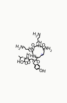 CC(C)C[C@H](NC(=O)CN(Cc1ccc(O)cc1)C(=O)[C@@H]1C/C=C/C[C@H](N)C(=O)N[C@@H](CCCCN)C(=O)N[C@@H](CCCCN)CN1)C(=O)O